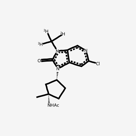 [2H]C([2H])([2H])n1c(=O)n([C@@H]2CC[C@](C)(NC(C)=O)C2)c2cc(Cl)ncc21